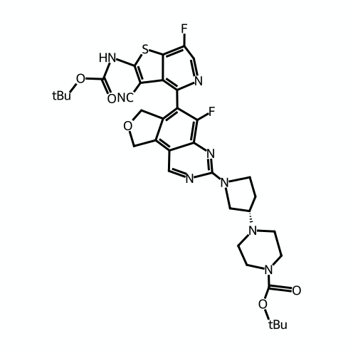 CC(C)(C)OC(=O)Nc1sc2c(F)cnc(-c3c4c(c5cnc(N6CC[C@H](N7CCN(C(=O)OC(C)(C)C)CC7)C6)nc5c3F)COC4)c2c1C#N